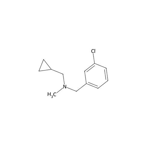 CN(Cc1cccc(Cl)c1)CC1CC1